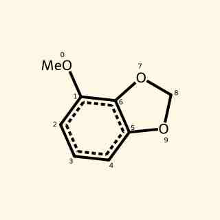 [CH2]Oc1cccc2c1OCO2